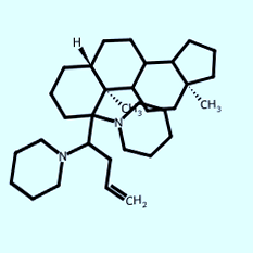 C=CCC(N1CCCCC1)C1(N2CCCCC2)CCC[C@@H]2CCC3C4CCC[C@@]4(C)CCC3[C@]21C